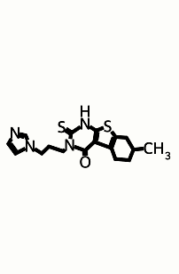 CC1CCc2c(sc3[nH]c(=S)n(CCCn4ccnc4)c(=O)c23)C1